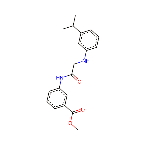 COC(=O)c1cccc(NC(=O)CNc2cccc(C(C)C)c2)c1